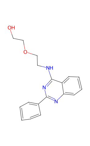 OCCOCCNc1nc(-c2ccccc2)nc2ccccc12